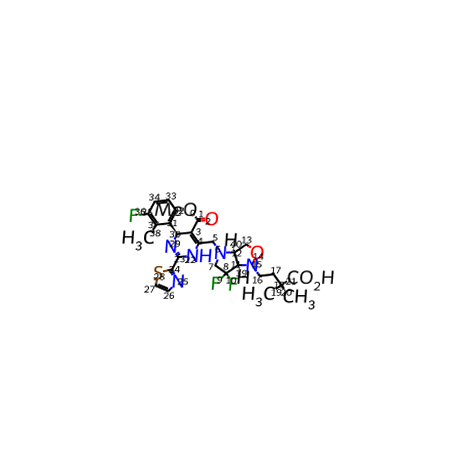 COC(=O)C1=C(CN2CC(F)(F)[C@H]3[C@@H]2CON3CCC(C)(C)C(=O)O)NC(c2nccs2)=N[C@H]1c1cccc(F)c1C